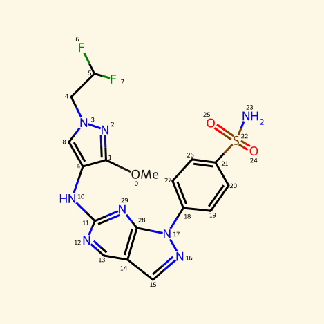 COc1nn(CC(F)F)cc1Nc1ncc2cnn(-c3ccc(S(N)(=O)=O)cc3)c2n1